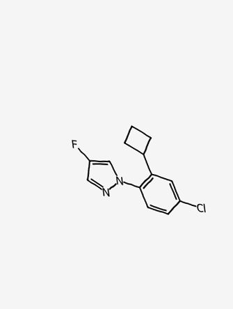 Fc1cnn(-c2ccc(Cl)cc2C2CCC2)c1